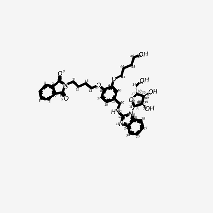 O=C1c2ccccc2C(=O)N1CCCCOc1ccc(CNc2nc3ccccc3n2[C@@H]2O[C@H](CO)[C@@H](O)[C@H]2O)cc1OCCCCO